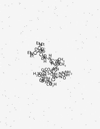 CCN(CC)c1ccc2c(-c3ccc(S(=O)(=O)NCCNC(=O)CCC[Si](C)(C)O[Si](C)(C)CSc4ncc(CN5C(=O)CC(SC[C@H](NC(=O)[C@H](CN)NC(=O)[C@H](CC(=O)O)NC(=O)CC[C@H](NC(=O)c6ccc(NCc7cnc8nc(N)[nH]c(=O)c8n7)cc6)C(=O)O)C(=O)O)C5=O)cn4)cc3S(=O)(=O)[O-])c3ccc(=[N+](CC)CC)cc-3oc2c1